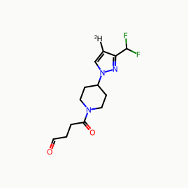 [2H]c1cn(C2CCN(C(=O)CCC=O)CC2)nc1C(F)F